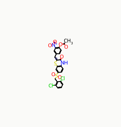 CC(=O)Oc1ccc(/C=C2/Sc3cc(S(=O)(=O)Cc4c(Cl)cccc4Cl)ccc3NC2=O)cc1[N+](=O)[O-]